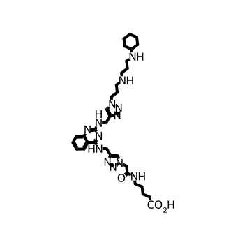 O=C(O)CCCCNC(=O)Cn1cc(CNc2nc(NCc3cn(CCCNCCCNC4CCCCC4)nn3)nc3ccccc23)nn1